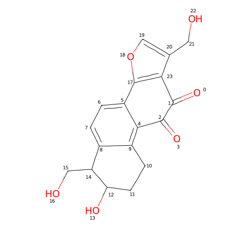 O=C1C(=O)c2c(ccc3c2CCC(O)C3CO)-c2occ(CO)c21